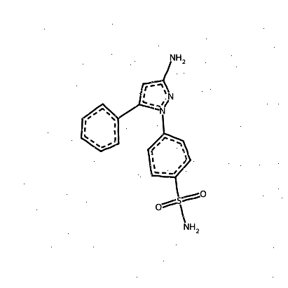 Nc1cc(-c2ccccc2)n(-c2ccc(S(N)(=O)=O)cc2)n1